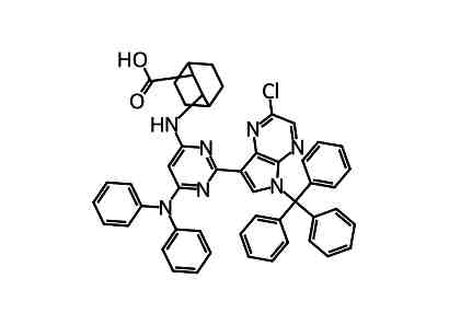 O=C(O)C1C2CCC(CC2)C1Nc1cc(N(c2ccccc2)c2ccccc2)nc(-c2cn(C(c3ccccc3)(c3ccccc3)c3ccccc3)c3ncc(Cl)nc23)n1